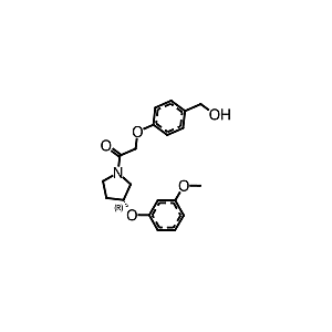 COc1cccc(O[C@@H]2CCN(C(=O)COc3ccc(CO)cc3)C2)c1